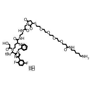 CC(C)(C)C(c1nc(-c2cc(F)ccc2F)cn1Cc1ccccc1)N(CCC(N)C(=O)NCCNC(=O)CN1C(=O)CC(SCCOCCOCCOCCOCCC(=O)NCCCCCN)C1=O)C(=O)CO.Cl.Cl